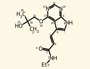 CCNC(=O)/C=C/c1c[nH]c2ncnc(OCC(C)(C)O)c12